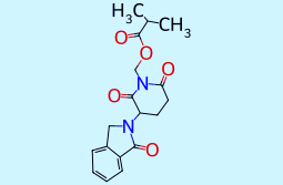 CC(C)C(=O)OCN1C(=O)CCC(N2Cc3ccccc3C2=O)C1=O